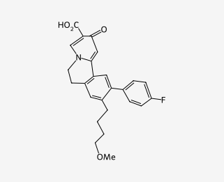 COCCCCc1cc2c(cc1-c1ccc(F)cc1)-c1cc(=O)c(C(=O)O)cn1CC2